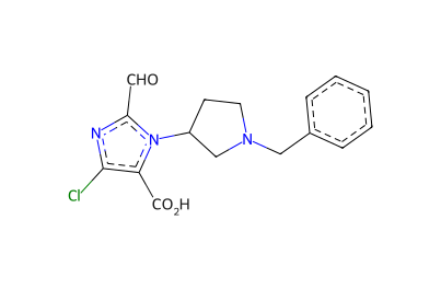 O=Cc1nc(Cl)c(C(=O)O)n1C1CCN(Cc2ccccc2)C1